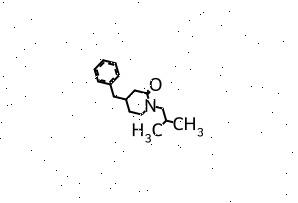 CC(C)CN1CCC(Cc2ccccc2)CC1=O